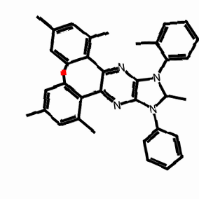 Cc1cc(C)c(-c2nc3c(nc2-c2c(C)cc(C)cc2C)N(c2ccccc2C)C(C)N3c2ccccc2)c(C)c1